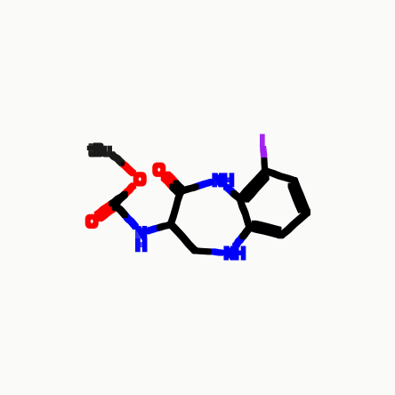 CC(C)(C)OC(=O)NC1CNc2cccc(I)c2NC1=O